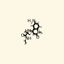 CCNC(=O)C(C)(C)Nc1cc(=O)n(C)c2ccc(N)cc12